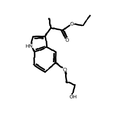 CCOC(=O)C(C)c1c[nH]c2ccc(OCCO)cc12